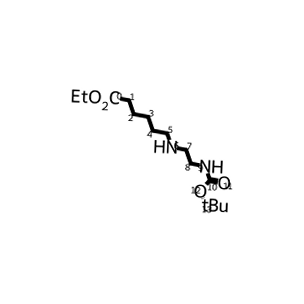 CCOC(=O)CCCCCNCCNC(=O)OC(C)(C)C